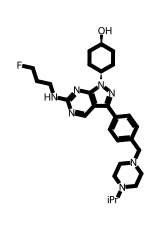 CC(C)N1CCN(Cc2ccc(-c3nn([C@H]4CC[C@H](O)CC4)c4nc(NCCCF)ncc34)cc2)CC1